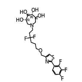 O[C@H]1[C@H](O)[C@@H](O)CN(CCC(F)(F)CCCOCc2csc(-c3ccc(F)c(F)c3F)n2)C[C@@H]1O